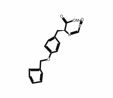 COC(=O)[C@H](Cc1ccc(OCc2ccccc2)cc1)/N=C\B=O